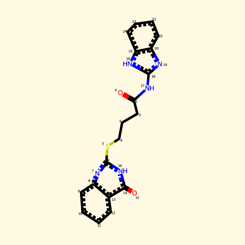 O=C(CCCSc1nc2ccccc2c(=O)[nH]1)Nc1nc2ccccc2[nH]1